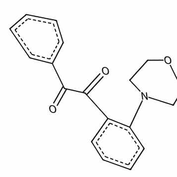 O=C(C(=O)c1ccccc1N1CCOCC1)c1ccccc1